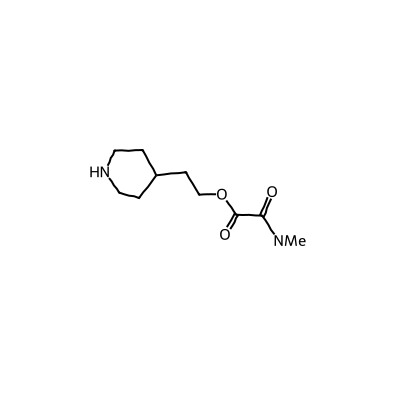 CNC(=O)C(=O)OCCC1CCNCC1